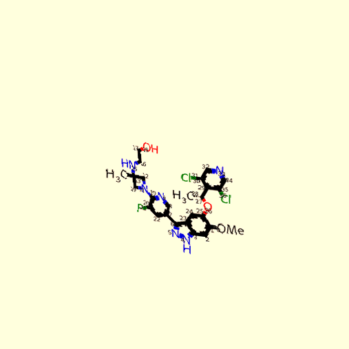 COc1cc2[nH]nc(-c3cnc(N4CC(C)(NCCO)C4)c(F)c3)c2cc1O[C@H](C)c1c(Cl)cncc1Cl